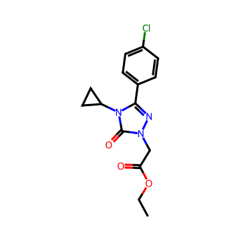 CCOC(=O)Cn1nc(-c2ccc(Cl)cc2)n(C2CC2)c1=O